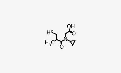 CC(CS)C(=O)N(CC(=O)O)C1CC1